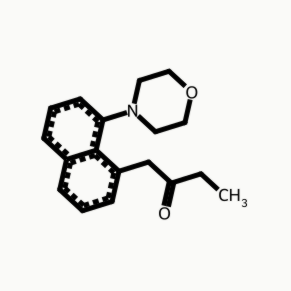 CCC(=O)Cc1cccc2cccc(N3CCOCC3)c12